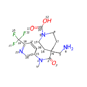 CN(C(=O)C1(CN)CCN(C(=O)O)CC1)c1ccc(C(F)(F)F)nc1